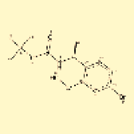 C[C@H](NC(=O)OC(C)(C)C)c1ncc(Br)cc1CO